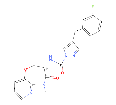 CN1C(=O)[C@@H](NC(=O)n2cc(Cc3cccc(F)c3)cn2)COc2cccnc21